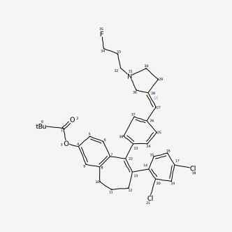 CC(C)(C)C(=O)Oc1ccc2c(c1)CCCC(c1ccc(Cl)cc1Cl)=C2c1ccc(/C=C2/CCN(CCCF)C2)cc1